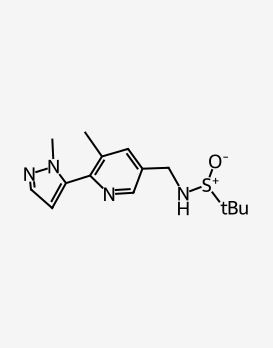 Cc1cc(CN[S+]([O-])C(C)(C)C)cnc1-c1ccnn1C